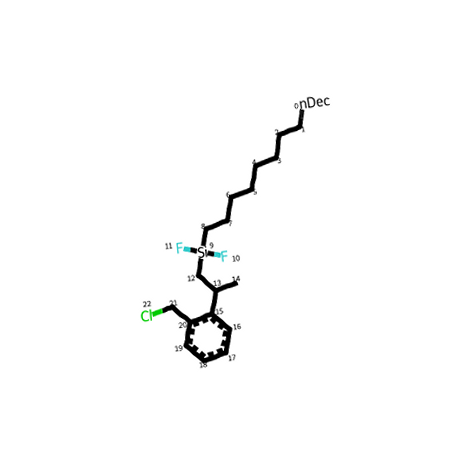 CCCCCCCCCCCCCCCCCC[Si](F)(F)CC(C)c1ccccc1CCl